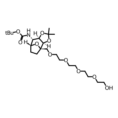 CC(C)(C)OC(=O)N[C@@H]1[C@H]2OC(C)(C)O[C@H]2[C@]2(COCCOCCOCCOCCO)CC[C@H]1O2